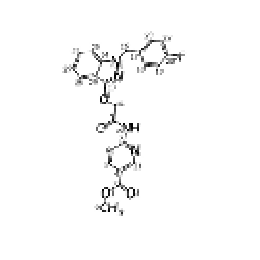 COC(=O)c1ccc(NC(=O)COc2nn(Cc3ccc(F)cc3)c3ccccc23)nc1